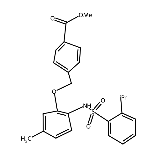 COC(=O)c1ccc(COc2cc(C)ccc2NS(=O)(=O)c2ccccc2C(C)C)cc1